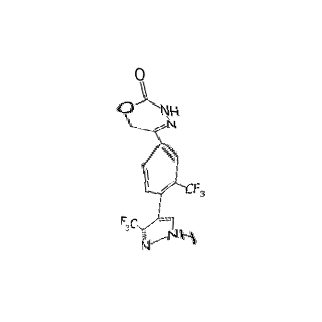 O=C1NN=C(c2ccc(-c3c[nH]nc3C(F)(F)F)c(C(F)(F)F)c2)CO1